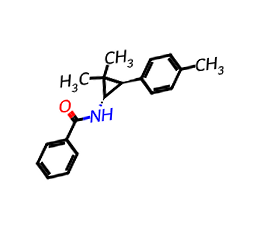 Cc1ccc([C@H]2[C@H](NC(=O)c3ccccc3)C2(C)C)cc1